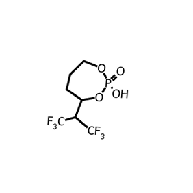 O=P1(O)OCCCC(C(C(F)(F)F)C(F)(F)F)O1